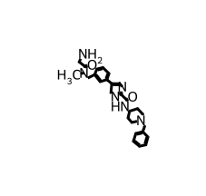 CN(Cc1cccc(-c2cnc(C(=O)NC3CCN(Cc4ccccc4)CC3)nc2)c1)C(=O)CN